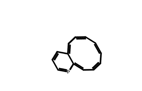 c1ccccc2pcccc2ccc1